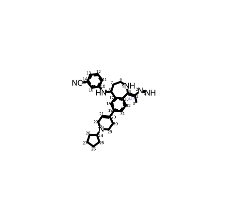 C/C(N=N)=C1/NCCC(Nc2cccc(C#N)c2)c2cc(C3=CCN(C4CCCC4)CC3)ccc21